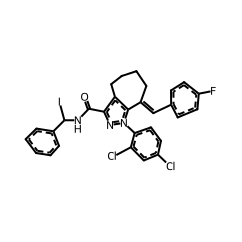 O=C(NC(I)c1ccccc1)c1nn(-c2ccc(Cl)cc2Cl)c2c1CCCC/C2=C\c1ccc(F)cc1